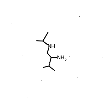 CC(C)NCC(N)C(C)C